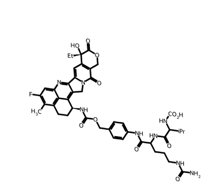 CC[C@@]1(O)C(=O)OCc2c1cc1n(c2=O)Cc2c-1nc1cc(F)c(C)c3c1c2[C@@H](NC(=O)OCc1ccc(NC(=O)C(CCCNC(N)=O)NC(=O)C(NC(=O)O)C(C)C)cc1)CC3